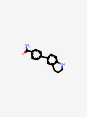 NC(=O)c1ccc(-c2ccc3c(c2)CCCN3)cc1